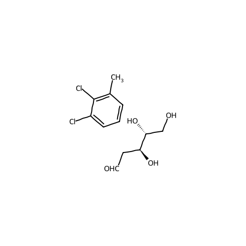 Cc1cccc(Cl)c1Cl.O=CC[C@H](O)[C@H](O)CO